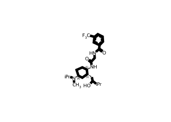 CC(C)C(O)C[C@@H]1C[C@H](N(C)C(C)C)CC[C@@H]1NC(=O)CNC(=O)c1cccc(C(F)(F)F)c1